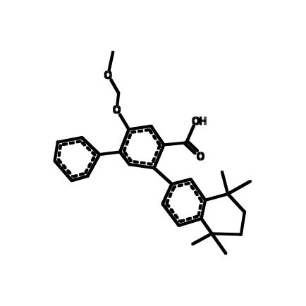 COCOc1cc(C(=O)O)c(-c2ccc3c(c2)C(C)(C)CCC3(C)C)cc1-c1ccccc1